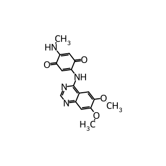 CNC1=CC(=O)C(Nc2ncnc3cc(OC)c(OC)cc23)=CC1=O